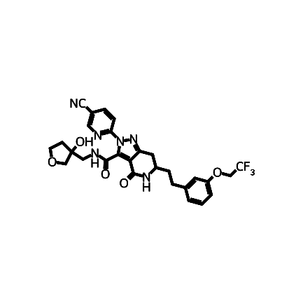 N#Cc1ccc(-n2nc3c(c2C(=O)NCC2(O)CCOC2)C(=O)NC(CCc2cccc(OCC(F)(F)F)c2)C3)nc1